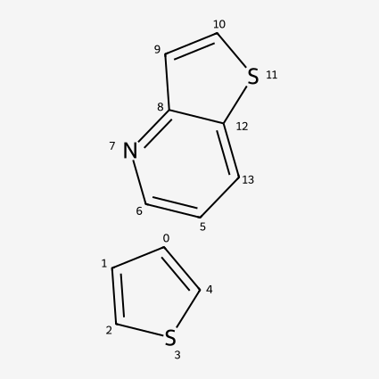 c1ccsc1.c1cnc2ccsc2c1